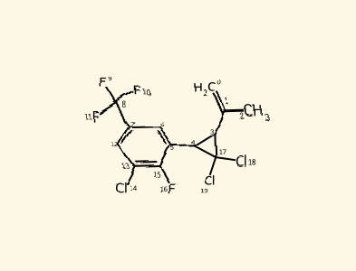 C=C(C)C1C(c2cc(C(F)(F)F)cc(Cl)c2F)C1(Cl)Cl